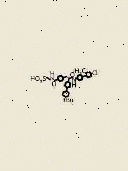 Cc1cc(Cl)ccc1-c1ccc(NC(=O)[C@H](Cc2ccc(C(=O)NCCS(=O)(=O)O)cc2)c2ccc(C3=CC[C@@H](C(C)(C)C)CC3)cc2)cc1